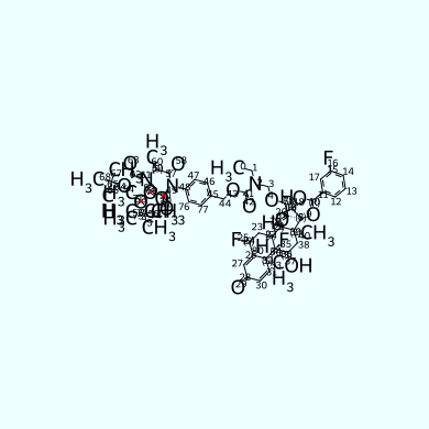 CCN(COCC(=O)[C@@]12O[C@H](c3cccc(F)c3)O[C@@H]1C[C@H]1[C@@H]3C[C@H](F)C4=CC(=O)C=C[C@]4(C)[C@@]3(F)[C@@H](O)C[C@@]12C)C(=O)OCc1ccc(N(C(=O)OC(C)(C)C)C(=O)[C@H](C)N(C(=O)OC(C)(C)C)C(=O)OC(C)(C)C)cc1